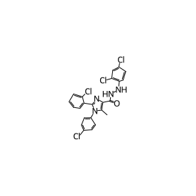 Cc1c(C(=O)NNc2ccc(Cl)cc2Cl)nc(-c2ccccc2Cl)n1-c1ccc(Cl)cc1